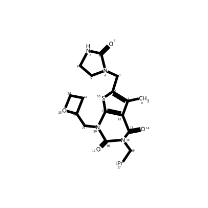 Cc1c(CN2CCNC2=O)sc2c1c(=O)n(CC(C)C)c(=O)n2CC1CCO1